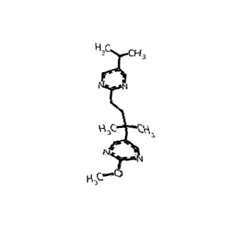 COc1ncc(C(C)(C)CCc2ncc(C(C)C)cn2)cn1